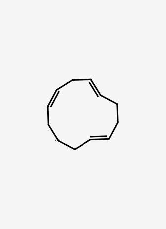 [CH]1C/C=C\C/C=C/CC/C=C/C1